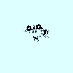 NC(=O)c1n[nH]cc1NCc1cccc(NC(=O)Nc2cccc(C(F)(F)F)c2F)c1.O=C(O)C(F)(F)F